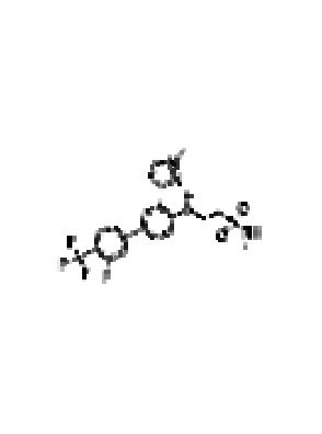 CNS(=O)(=O)CCNc1ccc(-c2ccc(C(F)(F)F)c(F)c2)cc1-c1ccn(C)n1